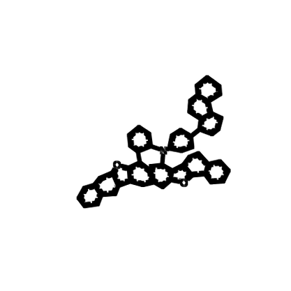 c1ccc(N(c2ccc(-c3cccc4c3ccc3ccccc34)cc2)c2cccc3oc4c5ccccc5ccc4c23)c(-c2cccc3c2oc2cc4ccccc4cc23)c1